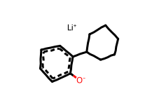 [Li+].[O-]c1ccccc1C1CCCCC1